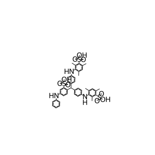 Cc1cc(C)c(S(=O)(=O)O)c(C)c1Nc1ccc(C(c2ccc(Nc3c(C)cc(C)c(S(=O)(=O)O)c3C)cc2)c2ccc(Nc3ccccc3)cc2S(=O)(=O)O)cc1